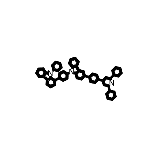 c1ccc(-c2cc(-c3ccc(-c4ccc5c(c4)c4ccccc4n5-c4ccc(-c5cccc6c7ccccc7n(-c7ccccc7)c56)cc4)cc3)cc(-c3ccccc3)n2)cc1